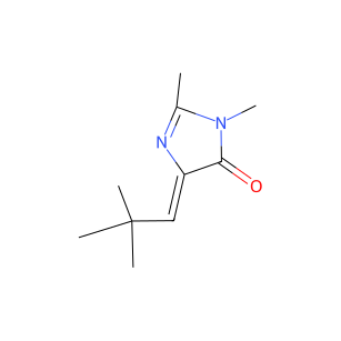 CC1=N/C(=C\C(C)(C)C)C(=O)N1C